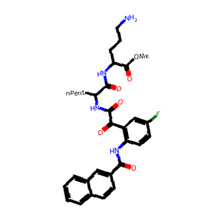 CCCCCC(NC(=O)C(=O)c1cc(F)ccc1NC(=O)c1ccc2ccccc2c1)C(=O)NC(CCCN)C(=O)OC